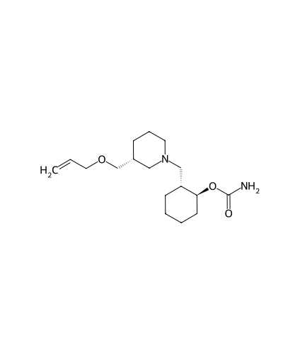 C=CCOC[C@@H]1CCCN(C[C@H]2CCCC[C@@H]2OC(N)=O)C1